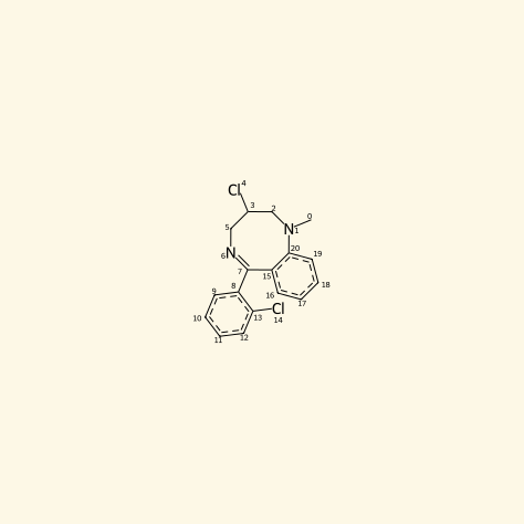 CN1CC(Cl)C/N=C(/c2ccccc2Cl)c2ccccc21